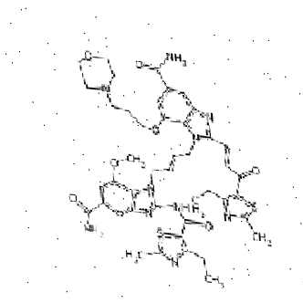 CCc1nc(C)sc1C(=O)/C=C/c1nc2cc(C(N)=O)cc(OCCCN3CCOCC3)c2n1C/C=C/Cn1c(NC(=O)c2sc(C)nc2CC)nc2cc(C(N)=O)cc(OC)c21